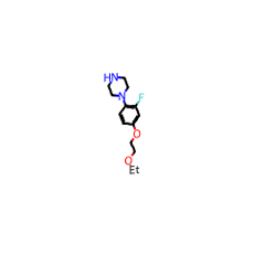 CCOCCOc1ccc(N2CCNCC2)c(F)c1